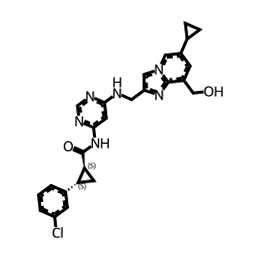 O=C(Nc1cc(NCc2cn3cc(C4CC4)cc(CO)c3n2)ncn1)[C@H]1C[C@@H]1c1cccc(Cl)c1